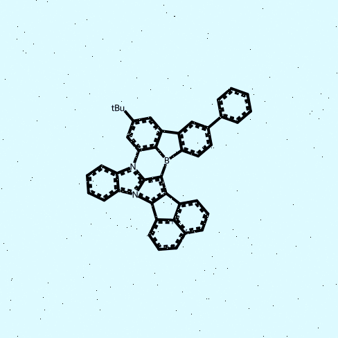 CC(C)(C)c1cc2c3c(c1)-n1c4ccccc4n4c5c(c(c14)B3c1ccc(-c3ccccc3)cc1-2)-c1cccc2cccc-5c12